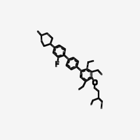 CCc1cc(-c2ccc(-c3ccc(C4CCC(C)CC4)cc3F)cc2)c(CC)c(CC)c1OCCC(CC)CC